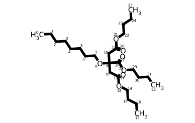 CCCCCCCCOC(CC(=O)OCCCC)(CC(=O)OCCCC)C(=O)OCCCC